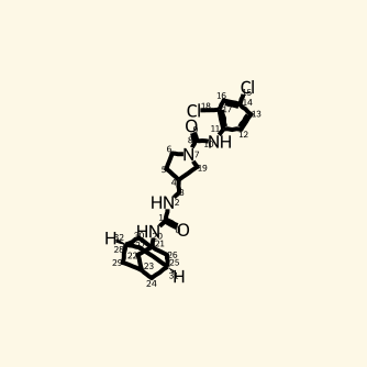 O=C(NCC1CCN(C(=O)Nc2ccc(Cl)cc2Cl)C1)NC12CC3C[C@H](C1)C[C@H](C3)C2